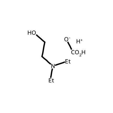 CCN(CC)CCO.O=C([O-])O.[H+]